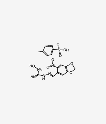 Cc1ccc(S(=O)(=O)O)cc1.N=C(NO)NN=Cc1cc2c(cc1[N+](=O)[O-])OCO2